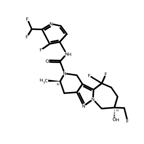 C[C@@H]1Cc2nn3c(c2CN1C(=O)Nc1ccnc(C(F)F)c1F)C(F)(F)CC[C@@](O)(CF)C3